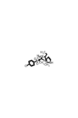 CCC(C)C1(NC(=O)C(C)(C)S(=O)(=O)c2ccc(Cl)cc2)C=CNN1C